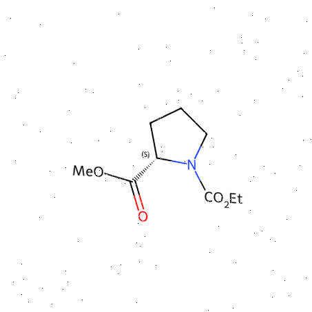 CCOC(=O)N1CCC[C@H]1C(=O)OC